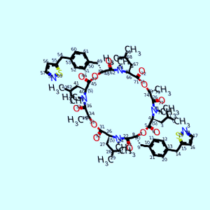 CC(C)C[C@H]1C(=O)O[C@H](Cc2ccc(Cc3ccns3)cc2)C(=O)N(C)[C@@H](CC(C)C)C(=O)O[C@H](C)C(=O)N(C)[C@@H](CC(C)C)C(=O)O[C@H](Cc2ccc(Cc3ccns3)cc2)C(=O)N(C)[C@@H](CC(C)C)C(=O)O[C@H](C)C(=O)N1C